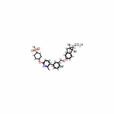 Cc1nc(OC2CCC(S(C)(=O)=O)CC2)ccc1-c1ccc(F)c(COc2ccc3c(c2)C[C@H]2[C@H](C(=O)O)[C@@H]32)c1